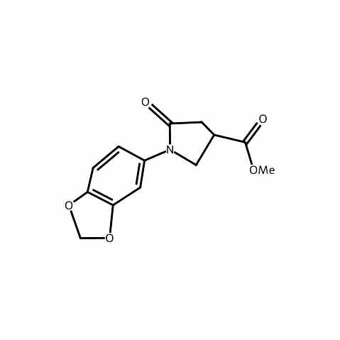 COC(=O)C1CC(=O)N(c2ccc3c(c2)OCO3)C1